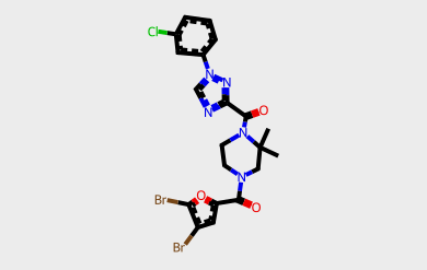 CC1(C)CN(C(=O)c2cc(Br)c(Br)o2)CCN1C(=O)c1ncn(-c2cccc(Cl)c2)n1